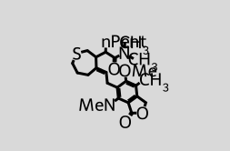 CCCCCC(C(=O)N(C)C)C1CSCCCC1=CCc1c(NC)c2c(c(C)c1OC)COC2=O